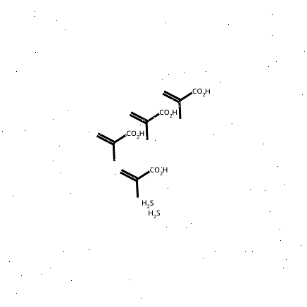 C=C(C)C(=O)O.C=C(C)C(=O)O.C=C(C)C(=O)O.C=C(C)C(=O)O.S.S